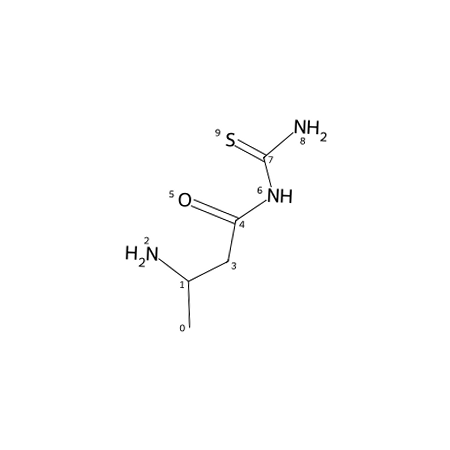 CC(N)CC(=O)NC(N)=S